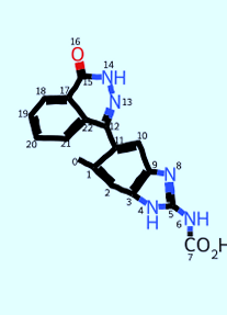 Cc1cc2[nH]c(NC(=O)O)nc2cc1-c1n[nH]c(=O)c2ccccc12